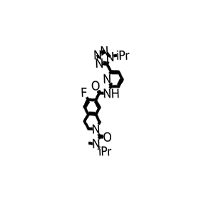 CC(C)N(C)C(=O)N1CCc2cc(F)c(C(=O)Nc3cccc(-c4nnnn4C(C)C)n3)cc2C1